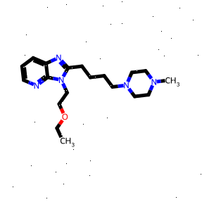 CCOCCn1c(CCCCN2CCN(C)CC2)nc2cccnc21